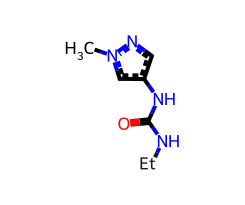 CCNC(=O)Nc1cnn(C)c1